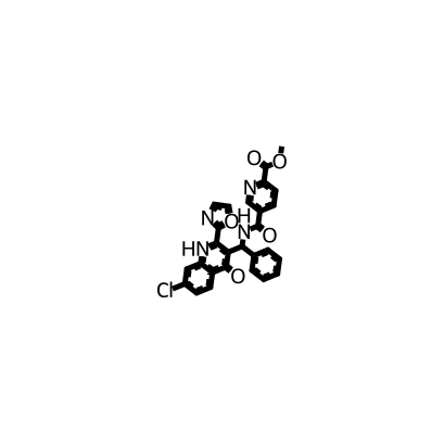 COC(=O)c1ccc(C(=O)NC(c2ccccc2)c2c(-c3ncco3)[nH]c3cc(Cl)ccc3c2=O)cn1